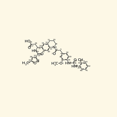 COc1cc(CC(=O)N2CCCc3cc(C(CC(=O)O)NC(=O)c4cc(C)on4)ccc32)ccc1NC(=O)Nc1ccccc1C